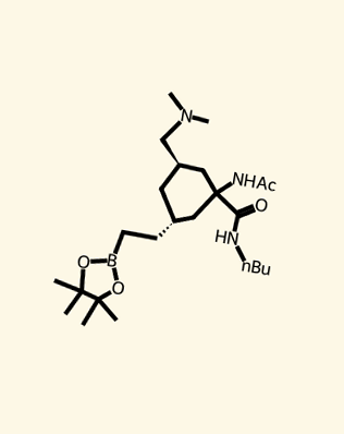 CCCCNC(=O)C1(NC(C)=O)C[C@H](CCB2OC(C)(C)C(C)(C)O2)C[C@@H](CN(C)C)C1